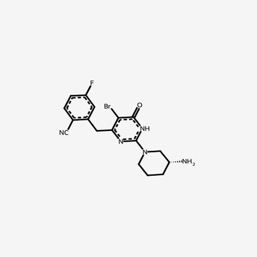 N#Cc1ccc(F)cc1Cc1nc(N2CCC[C@@H](N)C2)[nH]c(=O)c1Br